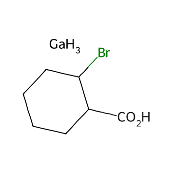 O=C(O)C1CCCCC1Br.[GaH3]